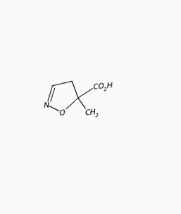 CC1(C(=O)O)CC=NO1